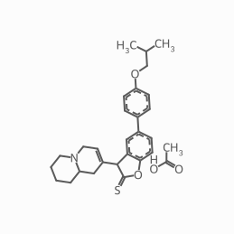 CC(=O)O.CC(C)COc1ccc(-c2ccc3c(c2)C(C2=CCN4CCCCC4C2)C(=S)O3)cc1